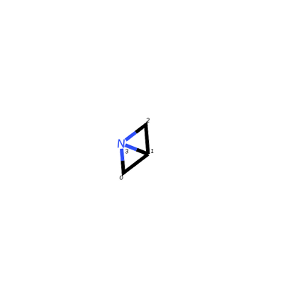 C1C2CN12